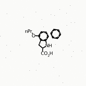 CCCOc1cccc2c1CC(C(=O)O)N2.c1ccccc1